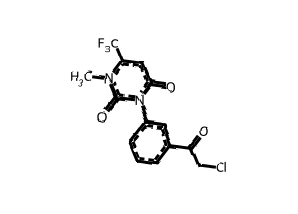 Cn1c(C(F)(F)F)cc(=O)n(-c2cccc(C(=O)CCl)c2)c1=O